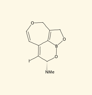 CN[C@H]1OB2OCC3=C2C(=C1I)C=COC3